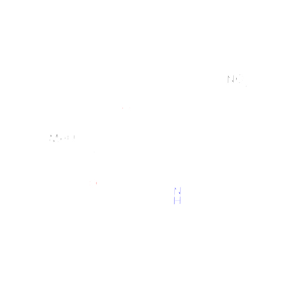 COC(=O)C(O)c1c[nH]c2ccc([N+](=O)[O-])cc12